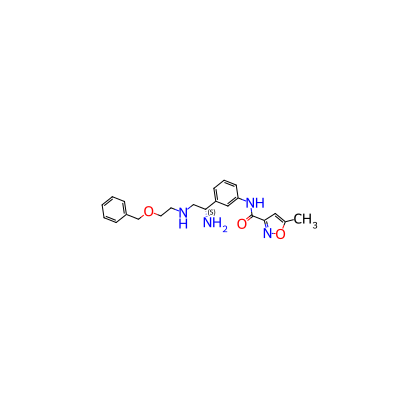 Cc1cc(C(=O)Nc2cccc([C@H](N)CNCCOCc3ccccc3)c2)no1